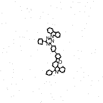 c1ccc(-c2nc(-c3ccc(-c4ccc5oc6c(ccc7c(-c8ccccc8)nc8ccccc8c76)c5c4)cc3)nc(-n3c4ccccc4c4ccccc43)n2)cc1